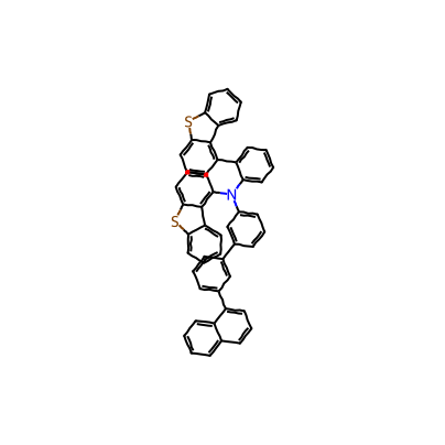 c1cc(-c2cccc(N(c3ccccc3-c3cccc4sc5ccccc5c34)c3cccc4sc5ccccc5c34)c2)cc(-c2cccc3ccccc23)c1